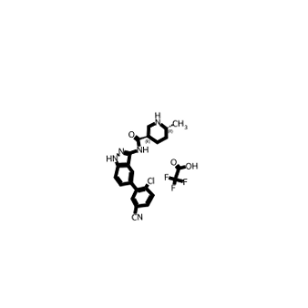 C[C@@H]1CC[C@@H](C(=O)Nc2n[nH]c3ccc(-c4cc(C#N)ccc4Cl)cc23)CN1.O=C(O)C(F)(F)F